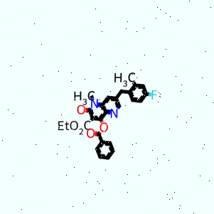 CCOC(=O)c1c(OC(=O)c2ccccc2)c2ncc(Cc3ccc(F)cc3C)cc2n(C)c1=O